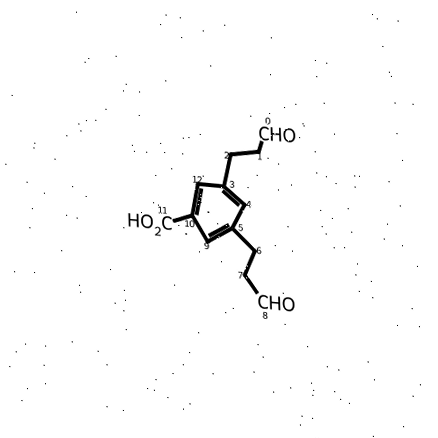 O=CCCc1cc(CCC=O)cc(C(=O)O)c1